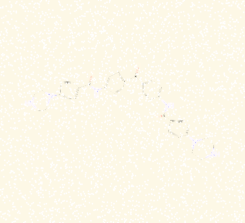 O=C(Nc1ccc(C(=O)c2ccc(NC(=O)c3ccc(N4CCNCC4)cc3)cc2)cc1)c1ccc(N2CCNCC2)cc1